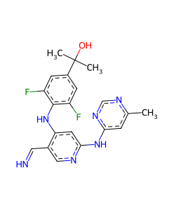 Cc1cc(Nc2cc(Nc3c(F)cc(C(C)(C)O)cc3F)c(C=N)cn2)ncn1